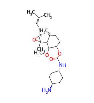 C=C1CCC(OC(=O)N[C@H]2CC[C@H](N)CC2)C(OC)C1C1(C)O[C@@H]1CC=C(C)C